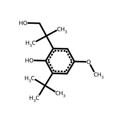 COc1cc(C(C)(C)C)c(O)c(C(C)(C)CO)c1